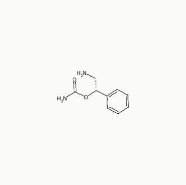 NC[C@@H](OC(N)=O)c1ccccc1